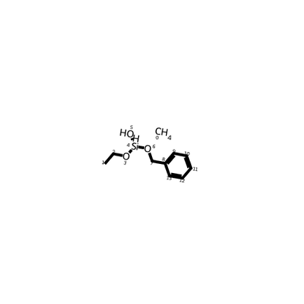 C.CCO[SiH](O)OCc1ccccc1